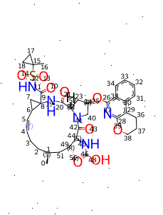 C[C@H]1CC/C=C\C2CC2(C(=O)NS(=O)(=O)C2(C)CC2)NC(=O)[C@@H]2C[C@@H](Oc3nc4c(c5ccccc35)CCCO4)CN2C(=O)[C@@H](NC(=O)O)[C@H](C)C1